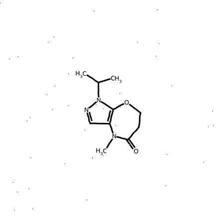 CC(C)n1ncc2c1OCCC(=O)N2C